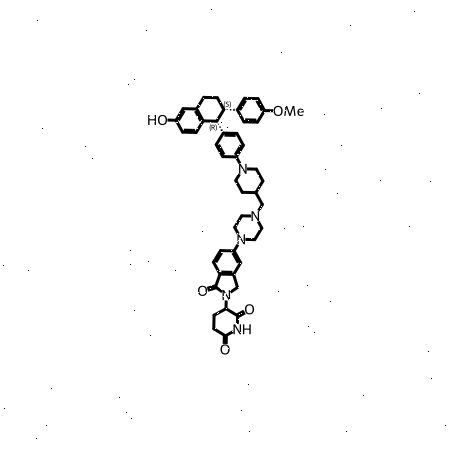 COc1ccc([C@H]2CCc3cc(O)ccc3[C@H]2c2ccc(N3CCC(CN4CCN(c5ccc6c(c5)CN(C5CCC(=O)NC5=O)C6=O)CC4)CC3)cc2)cc1